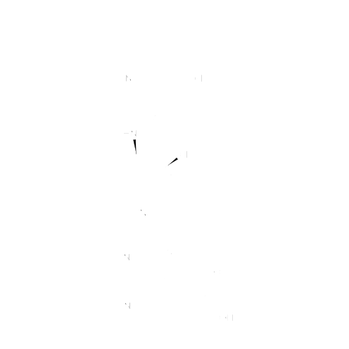 Cc1[nH]c(C(=O)N[C@@H]2CCN(c3nc4nccc(C(=O)O)c4s3)C[C@@H]2Cl)c(Cl)c1Cl